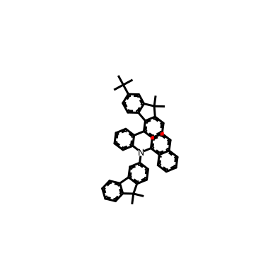 CC(C)(C)c1ccc2c(c1)C(C)(C)c1cccc(-c3ccccc3N(c3ccc4c(c3)-c3ccccc3C4(C)C)c3cccc4ccccc34)c1-2